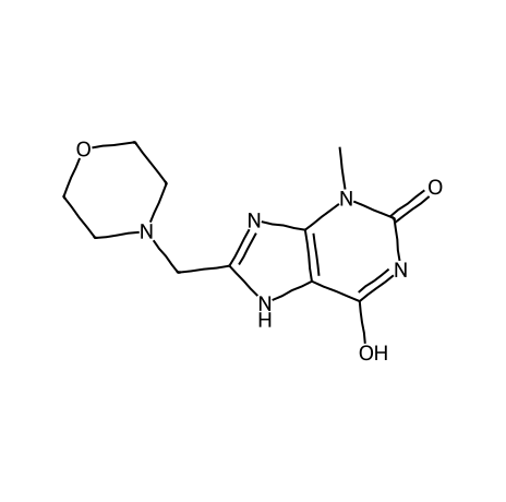 Cn1c(=O)nc(O)c2[nH]c(CN3CCOCC3)nc21